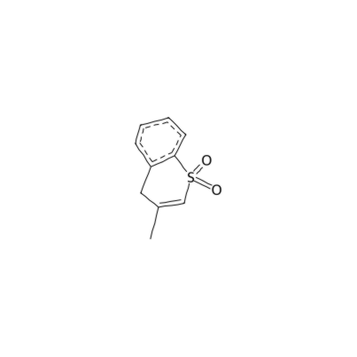 CC1=CS(=O)(=O)c2ccccc2C1